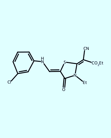 CCOC(=O)C(C#N)=c1sc(=CNc2cccc(Cl)c2)c(=O)n1CC